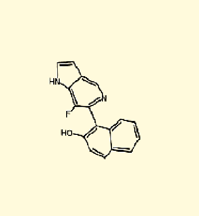 Oc1ccc2ccccc2c1-c1ncc2cc[nH]c2c1F